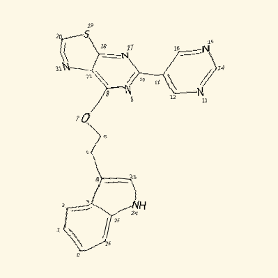 c1ccc2c(CCOc3nc(-c4cncnc4)nc4scnc34)c[nH]c2c1